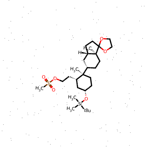 CC(C)(C)[Si](C)(C)O[C@H]1CC[C@](C)([C@@H]2[CH][C@@H]3CCC4(OCCO4)[C@@]3(C)CC2)[C@@H](CCOS(C)(=O)=O)C1